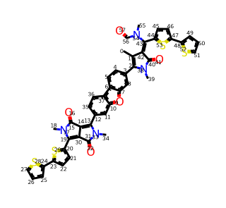 CC1=C(c2ccc3c(c2)oc2cc(C4=C5C(=O)N(C)C(c6ccc(-c7cccs7)s6)=C5C(=O)N4C)ccc23)N(C)C(=O)/C1=C(\c1ccc(-c2cccs2)s1)N(C)C=O